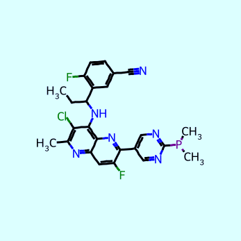 CCC(Nc1c(Cl)c(C)nc2cc(F)c(-c3cnc(P(C)C)nc3)nc12)c1cc(C#N)ccc1F